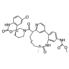 COC(=O)Nc1ccc2c(c1)NC(=O)[C@H](C)CCCC(C(=O)N1CCC[C@@]3(C1)OC(=O)Nc1ccc(Cl)cc13)c1cc-2ccn1